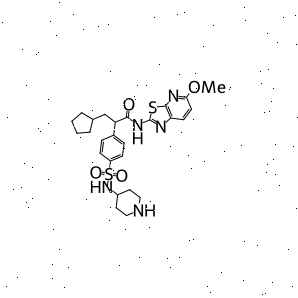 COc1ccc2nc(NC(=O)C(CC3CCCC3)c3ccc(S(=O)(=O)NC4CCNCC4)cc3)sc2n1